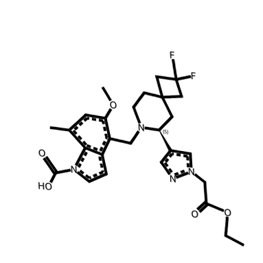 CCOC(=O)Cn1cc([C@@H]2CC3(CCN2Cc2c(OC)cc(C)c4c2ccn4C(=O)O)CC(F)(F)C3)cn1